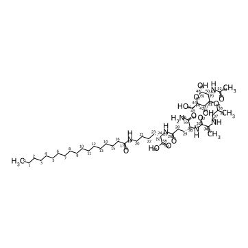 CCCCCCCCCCCCCCCCCC(=O)NCCCC[C@H](NC(=O)CC[C@@H](NC(=O)[C@H](C)NCC(C)O[C@H]1[C@H](O)[C@@H](CO)O[C@H](O)[C@@H]1NC(C)=O)C(N)=O)C(=O)O